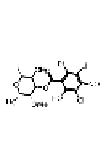 CCc1c(Cl)c(N=O)c(Cl)c(O)c1C(=O)O[C@H]1[C@H](O)[C@@H](C)O[C@@H](O)[C@H]1OC